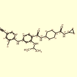 CC(C)Nc1cc(Nc2ncc(C#N)cc2F)ncc1C(=O)NC1CCC(C(=O)NC2CC2)CC1